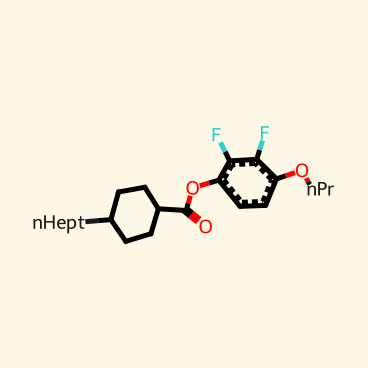 CCCCCCCC1CCC(C(=O)Oc2ccc(OCCC)c(F)c2F)CC1